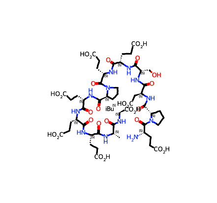 CC[C@H](C)[C@H](NC(=O)[C@H](C)NC(=O)[C@H](CCC(=O)O)NC(=O)[C@H](CCC(=O)O)NC(=O)[C@H](CCC(=O)O)NC(=O)[C@@H]1CCCN1C(=O)[C@H](CCC(=O)O)NC(=O)[C@H](CCC(=O)O)NC(=O)[C@H](CO)NC(=O)[C@H](CC(=O)O)NC(=O)[C@@H]1CCCN1C(=O)[C@@H](N)CCC(=O)O)C(=O)O